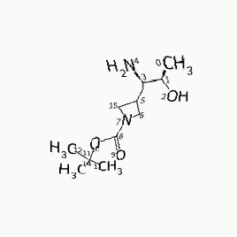 C[C@@H](O)[C@H](N)C1CN(C(=O)OC(C)(C)C)C1